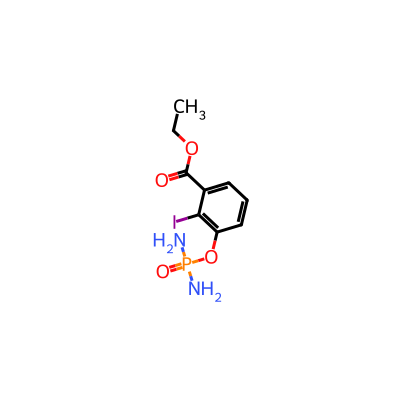 CCOC(=O)c1cccc(OP(N)(N)=O)c1I